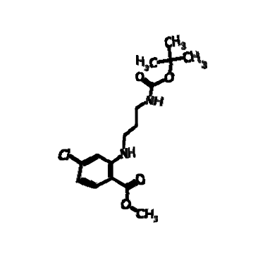 COC(=O)c1ccc(Cl)cc1NCCCNC(=O)OC(C)(C)C